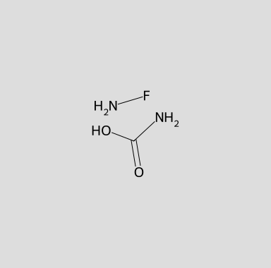 NC(=O)O.NF